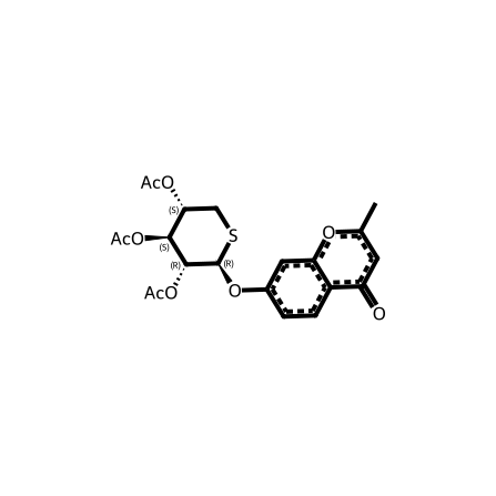 CC(=O)O[C@@H]1[C@@H](OC(C)=O)[C@H](OC(C)=O)CS[C@H]1Oc1ccc2c(=O)cc(C)oc2c1